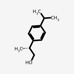 CC(C)c1ccc([C@@H](C)CO)cc1